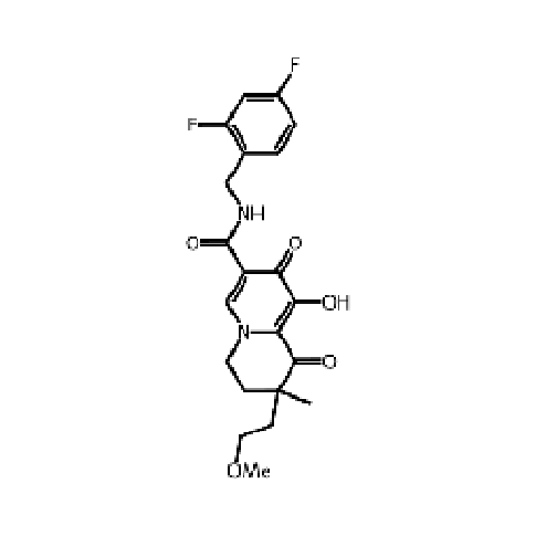 COCCC1(C)CCn2cc(C(=O)NCc3ccc(F)cc3F)c(=O)c(O)c2C1=O